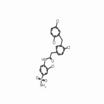 NS(=O)(=O)c1ccc(NC(=O)Cc2ccc(Cl)c(Cc3cc(Cl)ccc3Cl)c2)c(Cl)c1